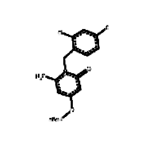 CCCCCOc1cc(C)n(Cc2ccc(Cl)cc2Cl)c(=O)c1